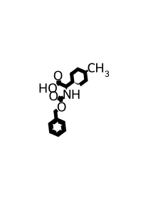 C[C@H]1CC[C@H]([C@H](NC(=O)OCc2ccccc2)C(=O)O)CC1